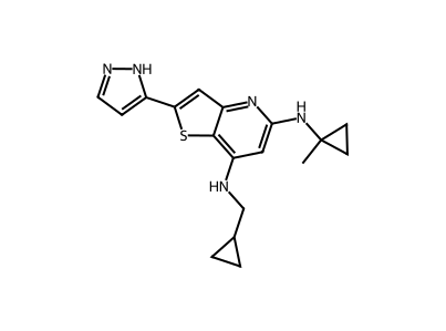 CC1(Nc2cc(NCC3CC3)c3sc(-c4ccn[nH]4)cc3n2)CC1